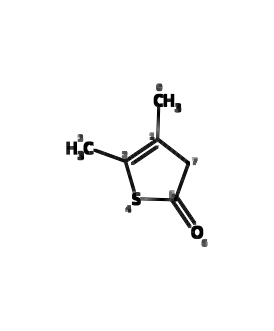 CC1=C(C)SC(=O)C1